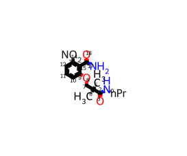 CCCNC(=O)C(C)(C)COc1cccc([N+](=O)[O-])c1C(N)=O